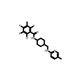 Cc1ccc(NCC2CCC(NC(=O)c3c(F)c(C)c(F)c(F)c3Cl)CC2)nc1